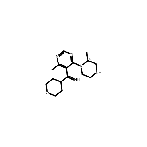 Cc1ncnc(N2CCNC[C@@H]2C)c1C(=N)C1CCOCC1